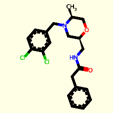 C[C@H]1CO[C@@H](CNC(=O)Cc2ccccc2)CN1Cc1ccc(Cl)c(Cl)c1